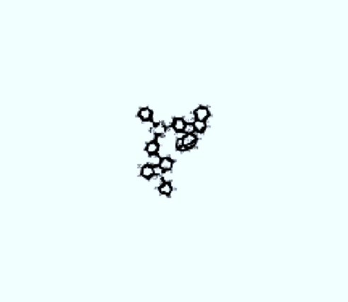 c1ccc(-c2nc(-c3cccc(-c4cccc5c4c4ccccc4n5-c4ccccc4)c3)nc(-c3ccc4c(c3)C3(c5ccc6ccccc6c5-4)C4CC5CC(C4)CC3C5)n2)cc1